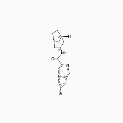 O=C(N[C@@H]1C[C@H]2CCN(C2)C1)c1cn2cc(Br)cc2cn1